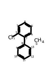 C.Clc1ccccc1-c1ccccc1